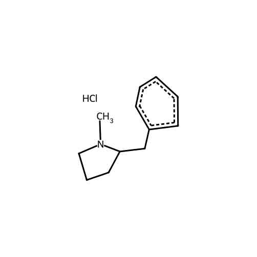 CN1CCCC1Cc1ccccc1.Cl